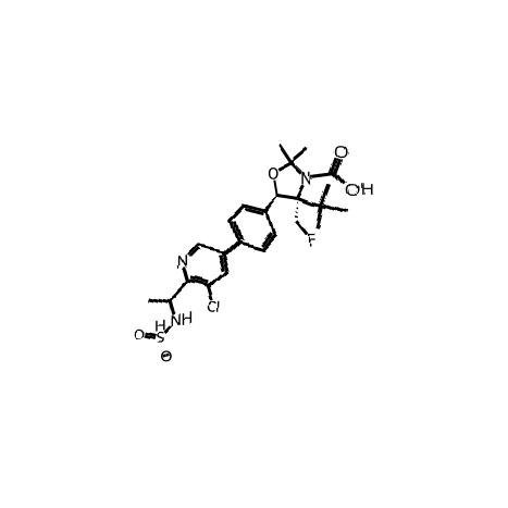 CC(N[SH](=O)=O)c1ncc(-c2ccc([C@H]3OC(C)(C)N(C(=O)O)[C@@]3(CF)C(C)(C)C)cc2)cc1Cl